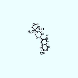 C[C@@]1(N2CCC(c3cc4nc(Cl)ncc4cc3Cl)CC2)COC[C@@H]1O